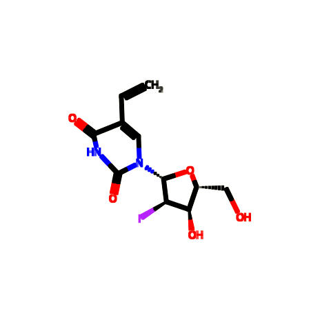 C=Cc1cn([C@@H]2O[C@H](CO)[C@@H](O)[C@H]2I)c(=O)[nH]c1=O